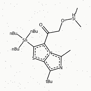 CCC[CH2][Sn]([CH2]CCC)([CH2]CCC)[c]1sc2c(C(C)(C)C)nc(C)n2c1C(=O)CO[SiH](C)C